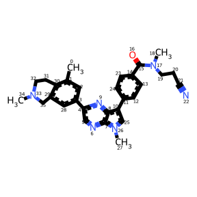 Cc1cc(-c2cnc3c(n2)c(-c2ccc(C(=O)N(C)CCC#N)cc2)cn3C)cc2c1CCN(C)C2